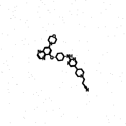 N#CCCN1CCC(c2cnc(N[C@H]3CC[C@@H](Oc4cc(N5CCOCC5)cc5nccnc45)CC3)nc2)CC1